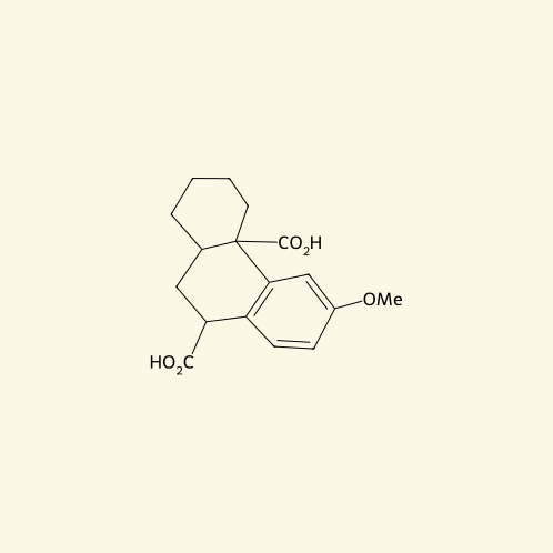 COc1ccc2c(c1)C1(C(=O)O)CCCCC1CC2C(=O)O